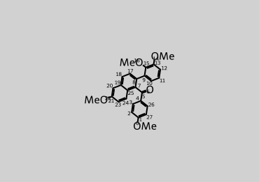 COc1ccc(C(=O)c2c(-c3cccc(OC)c3OC)ccc3cc(OC)ccc23)cc1